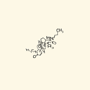 CCCCNC(=O)C1CC[C@H]2[C@@H]3CCC4N(C)C(=O)C=C[C@]4(C)[C@@H]3CC[C@]12C